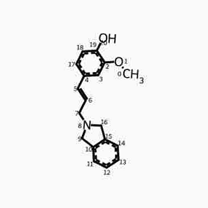 COc1cc(/C=C/CN2Cc3ccccc3C2)ccc1O